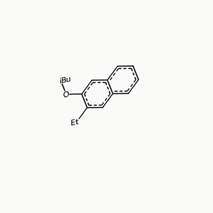 CCc1cc2ccccc2cc1OC(C)CC